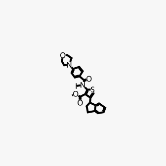 COC(=O)c1c(C2CCc3ccccc32)csc1N(I)C(=O)c1ccc(N2CCOCC2)cc1